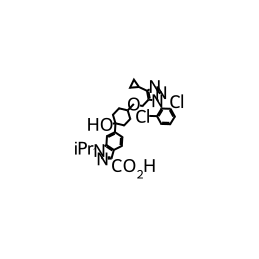 CC(C)n1nc(C(=O)O)c2ccc(C3(O)CCC(OCc4c(C5CC5)nnn4-c4c(Cl)cccc4Cl)CC3)cc21